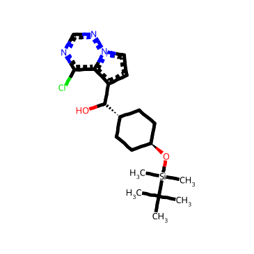 CC(C)(C)[Si](C)(C)O[C@H]1CC[C@H](C(O)c2ccn3ncnc(Cl)c23)CC1